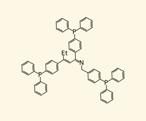 CC/C(=C\C(=N/Cc1ccc(P(c2ccccc2)c2ccccc2)cc1)c1ccc(P(c2ccccc2)c2ccccc2)cc1)c1ccc(P(c2ccccc2)c2ccccc2)cc1